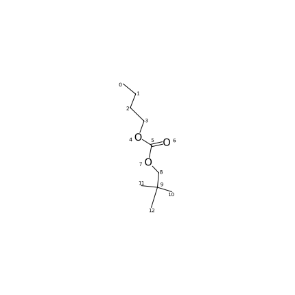 CCCCOC(=O)OCC(C)(C)C